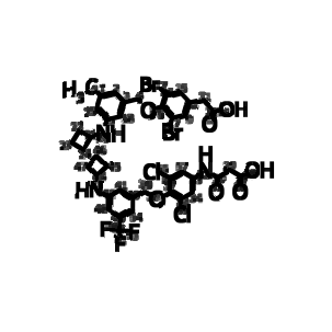 Cc1cc(COc2c(Br)cc(CC(=O)O)cc2Br)cc(NC2CCC2)c1.O=C(O)CC(=O)Nc1cc(Cl)c(OCc2cc(NC3CCC3)cc(C(F)(F)F)c2)c(Cl)c1